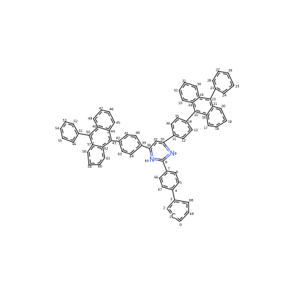 c1ccc(-c2ccc(-c3nc(-c4ccc(-c5c6ccccc6c(-c6ccccc6)c6ccccc56)cc4)cc(-c4ccc(-c5c6ccccc6c(-c6ccccc6)c6ccccc56)cc4)n3)cc2)cc1